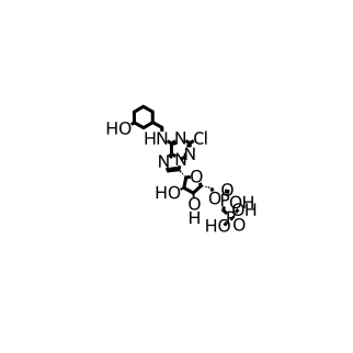 O=P(O)(O)CP(=O)(O)OC[C@H]1O[C@@H](c2cnc3c(NCC4CCCC(O)C4)nc(Cl)nn23)[C@H](O)[C@@H]1O